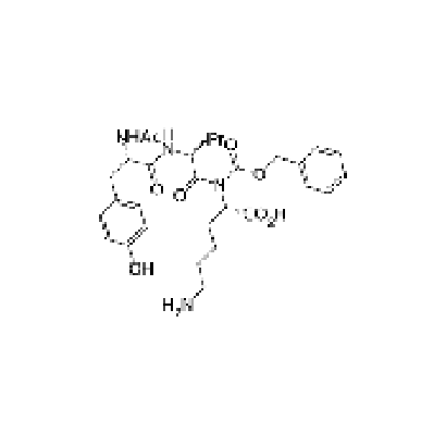 CC(=O)N[C@@H](Cc1ccc(O)cc1)C(=O)N[C@H](C(=O)N(C(=O)OCc1ccccc1)[C@@H](CCCCN)C(=O)O)C(C)C